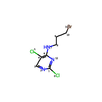 Clc1ncc(Cl)c(NCCCBr)n1